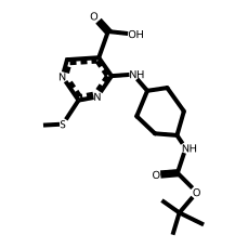 CSc1ncc(C(=O)O)c(NC2CCC(NC(=O)OC(C)(C)C)CC2)n1